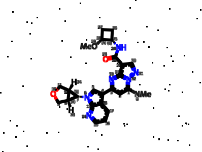 CNc1cc(-c2cn([C@@H]3[C@@H]4COC[C@@H]43)c3ncccc23)nc2c(C(=O)N[C@H]3CC[C@@H]3OC)cnn12